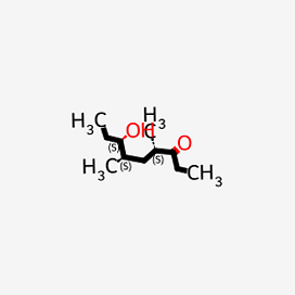 CCC(=O)[C@@H](C)C[C@H](C)[C@@H](O)CC